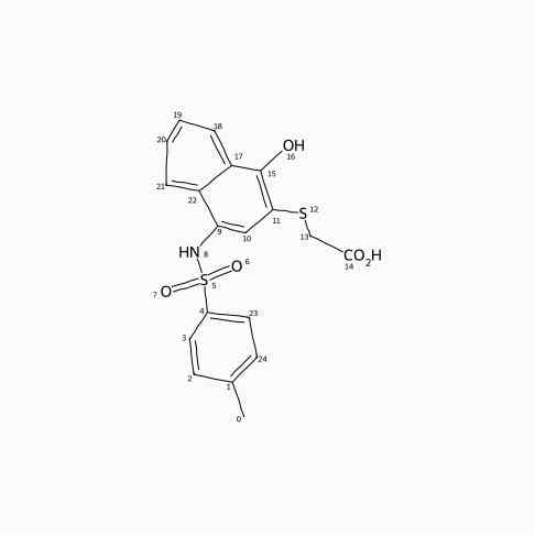 Cc1ccc(S(=O)(=O)Nc2cc(SCC(=O)O)c(O)c3ccccc23)cc1